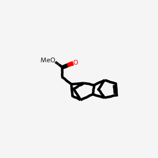 COC(=O)CC1CC2CC1C1C3C=CC(C3)C21